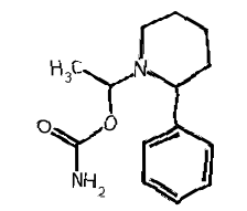 CC(OC(N)=O)N1CCCCC1c1ccccc1